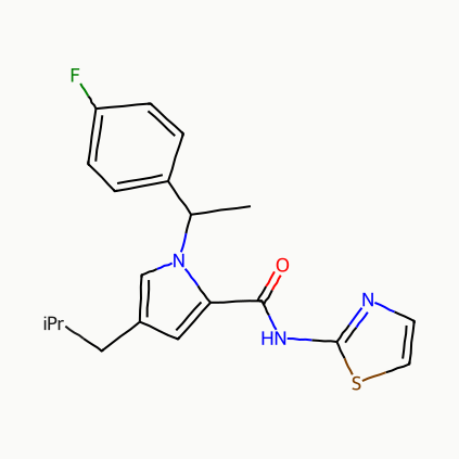 CC(C)Cc1cc(C(=O)Nc2nccs2)n(C(C)c2ccc(F)cc2)c1